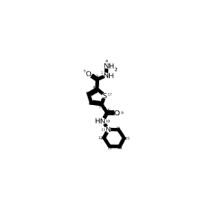 NNC(=O)c1ccc(C(=O)NN2CCCCC2)s1